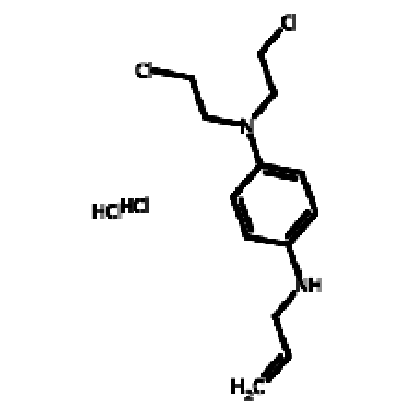 C=CCNc1ccc(N(CCCl)CCCl)cc1.Cl.Cl